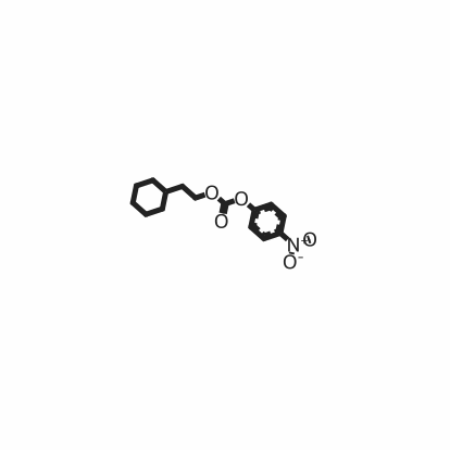 O=C(OCCC1CCCCC1)Oc1ccc([N+](=O)[O-])cc1